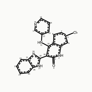 O=c1[nH]c2cc(Cl)ccc2c(Nc2cccnc2)c1-c1nc2ccccc2[nH]1